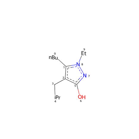 CCCCc1c(CC(C)C)c(O)nn1CC